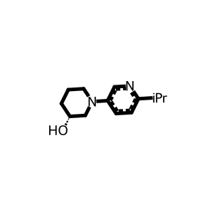 CC(C)c1ccc(N2CCC[C@@H](O)C2)cn1